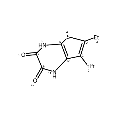 CCCc1c(CC)sc2[nH]c(=O)c(=O)[nH]c12